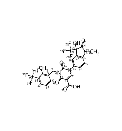 Cc1c(Cn2c(=O)c(C(=O)O)cn(-c3ccc4c(c3)C(O)(C(F)(F)F)C(=O)N4C)c2=O)cccc1C(F)(F)F